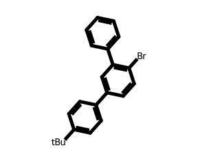 CC(C)(C)c1ccc(-c2ccc(Br)c(-c3ccccc3)c2)cc1